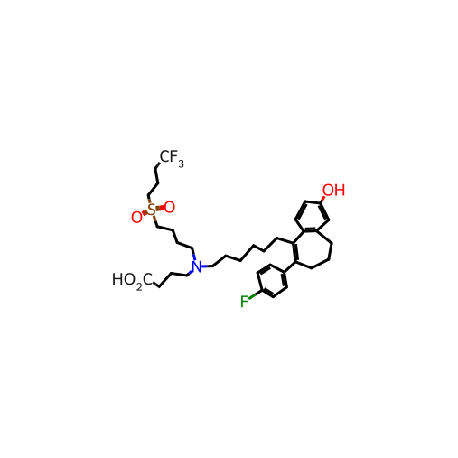 O=C(O)CCCN(CCCCCCC1=C(c2ccc(F)cc2)CCCc2cc(O)ccc21)CCCCS(=O)(=O)CCCC(F)(F)F